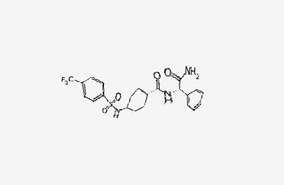 NC(=O)[C@@H](NC(=O)[C@H]1CC[C@H](NS(=O)(=O)c2ccc(C(F)(F)F)cc2)CC1)c1ccccc1